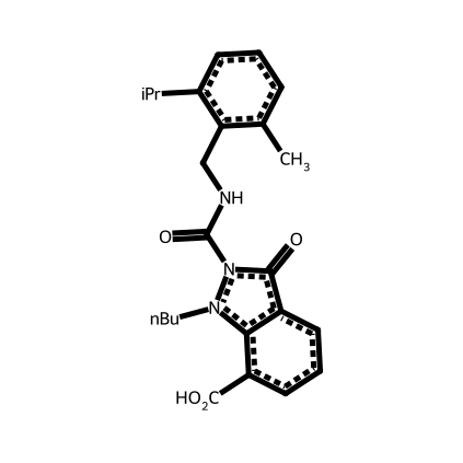 CCCCn1c2c(C(=O)O)cccc2c(=O)n1C(=O)NCc1c(C)cccc1C(C)C